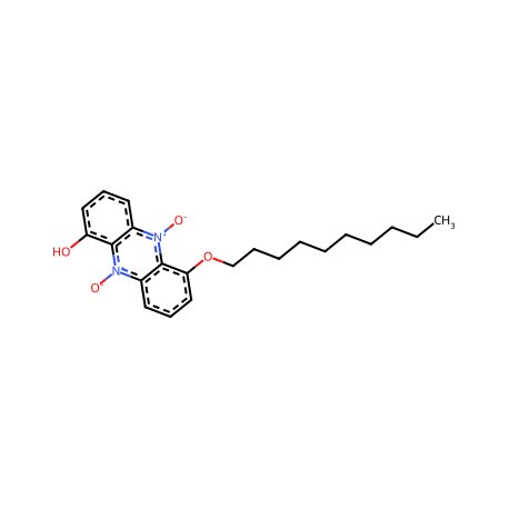 CCCCCCCCCCOc1cccc2c1[n+]([O-])c1cccc(O)c1[n+]2[O-]